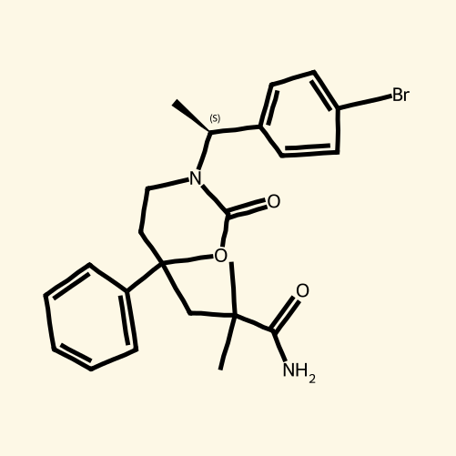 C[C@@H](c1ccc(Br)cc1)N1CCC(CC(C)(C)C(N)=O)(c2ccccc2)OC1=O